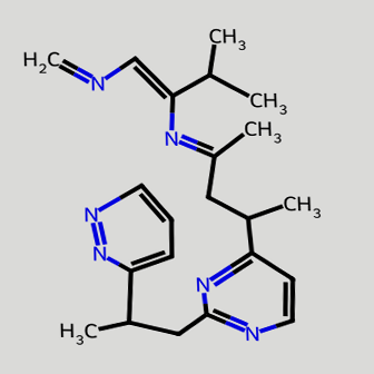 C=N/C=C(\N=C(/C)CC(C)c1ccnc(CC(C)c2cccnn2)n1)C(C)C